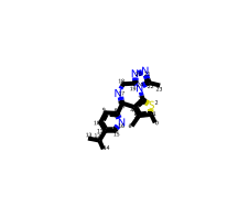 Cc1sc2c(c1C)C(c1ccc(C(C)C)cn1)=NCc1nnc(C)n1-2